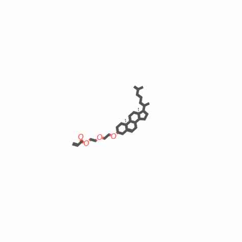 C=CC(=O)OCCOCCOC1CC[C@]2(C)C(=CCC3C4CCC(C(C)CCCC(C)C)[C@]4(C)CCC32)C1